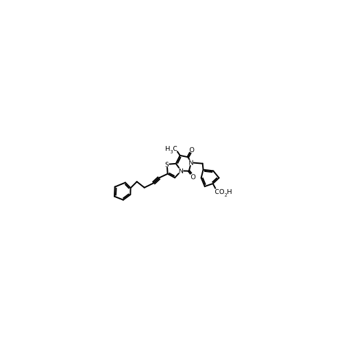 Cc1c(=O)n(Cc2ccc(C(=O)O)cc2)c(=O)n2cc(C#CCCc3ccccc3)sc12